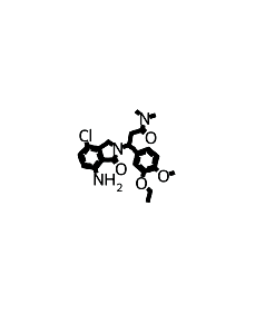 CCOc1cc(C(CC(=O)N(C)C)N2Cc3c(Cl)ccc(N)c3C2=O)ccc1OC